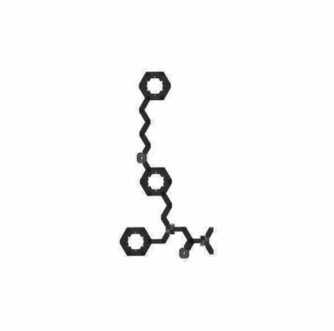 CN(C)C(=O)CN(CCc1ccc(OCCCCc2ccccc2)cc1)Cc1ccccc1